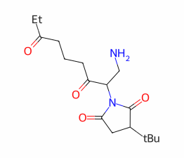 CCC(=O)CCCC(=O)C(CN)N1C(=O)CC(C(C)(C)C)C1=O